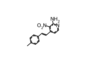 Cc1ccc(C=Cc2ccnc(N)c2[N+](=O)[O-])cc1